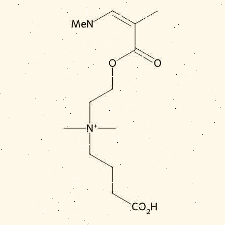 CNC=C(C)C(=O)OCC[N+](C)(C)CCCC(=O)O